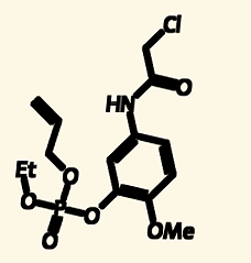 C=CCOP(=O)(OCC)Oc1cc(NC(=O)CCl)ccc1OC